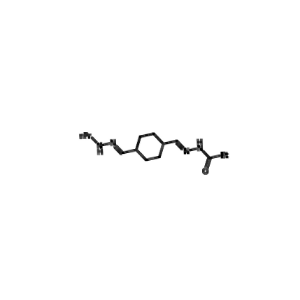 CCCN/N=C/C1CCC(/C=N/NC(=O)CC)CC1